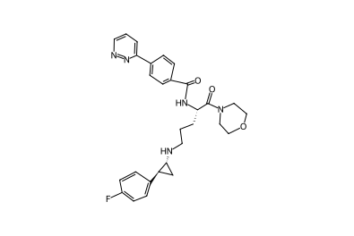 O=C(N[C@@H](CCCN[C@@H]1C[C@H]1c1ccc(F)cc1)C(=O)N1CCOCC1)c1ccc(-c2cccnn2)cc1